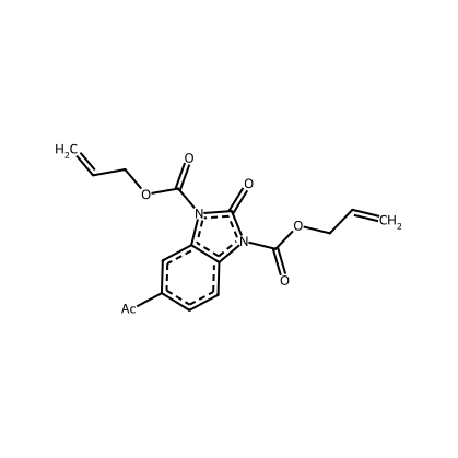 C=CCOC(=O)n1c(=O)n(C(=O)OCC=C)c2cc(C(C)=O)ccc21